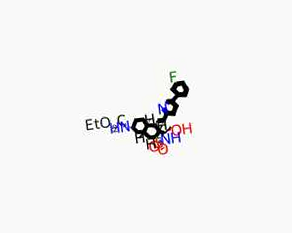 CCOC(=O)N[C@@H]1CC[C@@H]2[C@@H](C1)C[C@@H]1[C@H]([C@H]2/C=C/c2ccc(-c3cccc(F)c3)cn2)[C@@H](CO)NS1(=O)=O